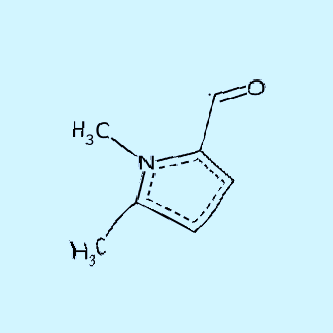 Cc1ccc([C]=O)n1C